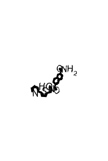 NC(=O)c1ccc2cc(C(=O)N(O)Cc3ccc(-c4ccccn4)s3)ccc2c1